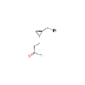 CC(C)CC1CC1CCC(=O)Cl